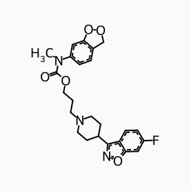 CN(C(=O)OCCCN1CCC(c2noc3cc(F)ccc23)CC1)c1ccc2c(c1)OOC2